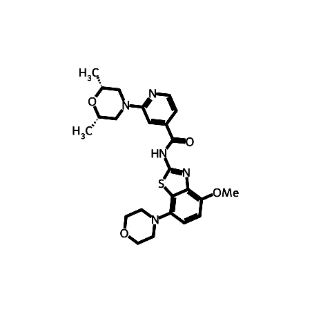 COc1ccc(N2CCOCC2)c2sc(NC(=O)c3ccnc(N4C[C@@H](C)O[C@@H](C)C4)c3)nc12